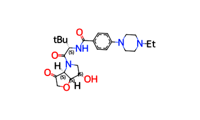 CCN1CCN(c2ccc(C(=O)N[C@H](C(=O)N3C[C@H](O)[C@H]4OCC(=O)[C@H]43)C(C)(C)C)cc2)CC1